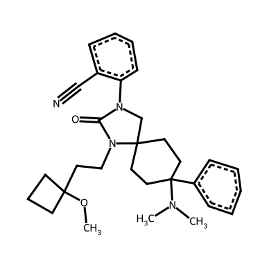 COC1(CCN2C(=O)N(c3ccccc3C#N)CC23CCC(c2ccccc2)(N(C)C)CC3)CCC1